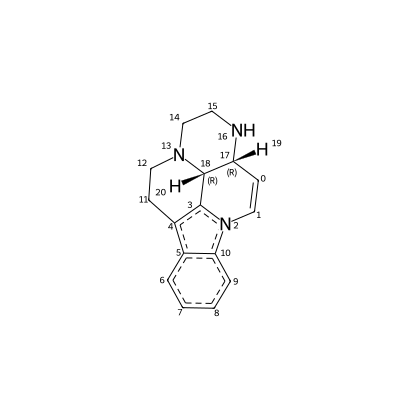 C1=Cn2c3c(c4ccccc42)CCN2CCN[C@H]1[C@H]32